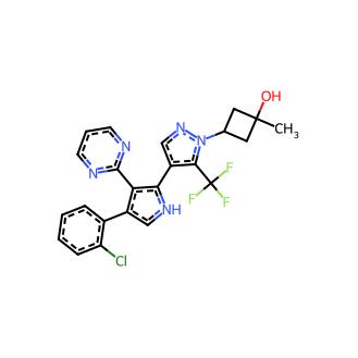 CC1(O)CC(n2ncc(-c3[nH]cc(-c4ccccc4Cl)c3-c3ncccn3)c2C(F)(F)F)C1